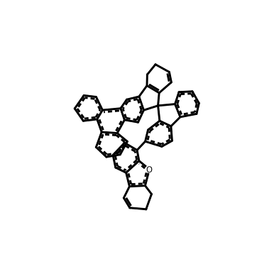 C1=CC2=C(CC1)c1cc3c4ccccc4c4ccccc4c3cc1C21c2ccccc2-c2ccc(-c3cccc4c5c(oc34)CCC=C5)cc21